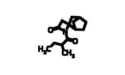 CCC(C)C(=O)N1C(=O)CC12CC1CCC2C1